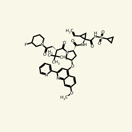 C=CC1C[C@]1(NC(=O)[C@@H]1C[C@@H](Oc2cc(-c3ccccn3)nc3cc(OC)ccc23)CN1C(=O)[C@@H](CC(=O)N1CCCC(F)C1)C(C)(C)C)C(=O)NS(=O)(=O)C1CC1